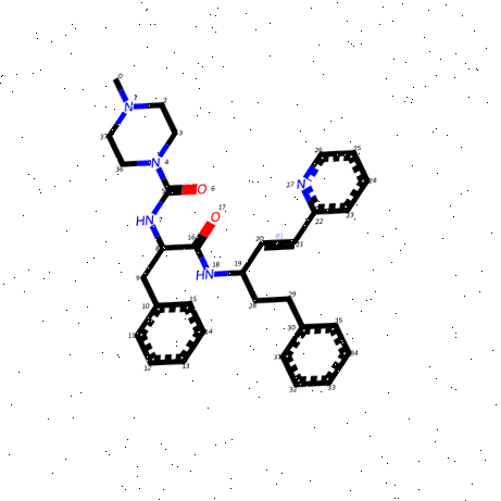 CN1CCN(C(=O)NC(Cc2ccccc2)C(=O)NC(/C=C/c2ccccn2)CCc2ccccc2)CC1